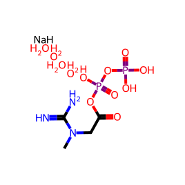 CN(CC(=O)OP(=O)(O)OP(=O)(O)O)C(=N)N.O.O.O.O.[NaH]